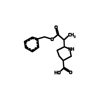 CC(C(=O)OCc1ccccc1)C1CCC(C(=O)O)CN1